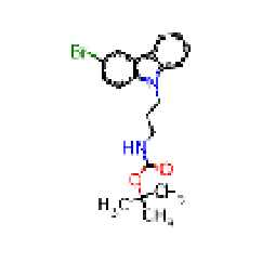 CC(C)(C)OC(=O)NCCCn1c2ccccc2c2cc(Br)ccc21